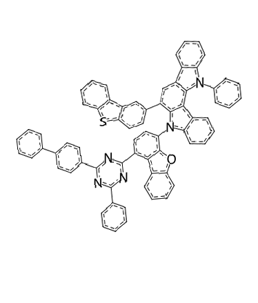 c1ccc(-c2ccc(-c3nc(-c4ccccc4)nc(-c4ccc(-n5c6ccccc6c6c5c(-c5ccc7sc8ccccc8c7c5)cc5c7ccccc7n(-c7ccccc7)c56)c5oc6ccccc6c45)n3)cc2)cc1